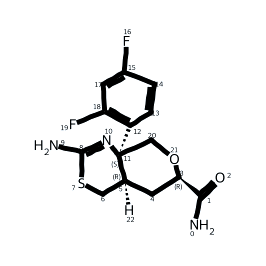 NC(=O)[C@H]1C[C@H]2CSC(N)=N[C@@]2(c2ccc(F)cc2F)CO1